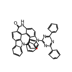 O=c1[nH]c2ccc3c(c4ccccc4n3-c3nc(-c4ccccc4)nc(-c4ccccc4)n3)c2c2c1ccc1c3ccccc3n(-c3ccccc3)c12